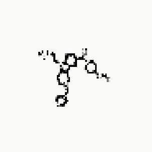 C=CCn1c2c(c3cc(C(=O)N4CCC(C)CC4)ccc31)CN(Cc1ccncc1)CC2